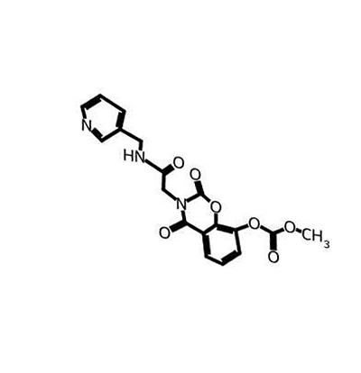 COC(=O)Oc1cccc2c(=O)n(CC(=O)NCc3cccnc3)c(=O)oc12